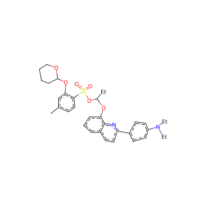 CCC(Oc1cccc2ccc(-c3ccc(N(CC)CC)cc3)nc12)OS(=O)(=O)c1ccc(C)cc1OC1CCCCO1